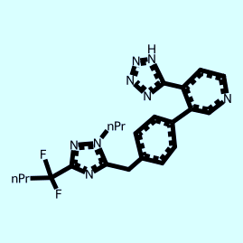 CCCn1nc(C(F)(F)CCC)nc1Cc1ccc(-c2cnccc2-c2nnn[nH]2)cc1